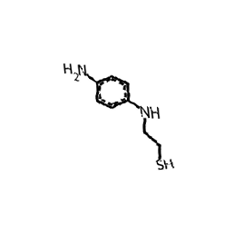 Nc1ccc(NCCS)cc1